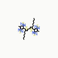 CCCCCCc1cc(-c2cc(CCCCCC)c(-c3c4c(c(C)c5nsnc35)N=S=N4)s2)sc1-c1c2c(c(C)c3nsnc13)N=S=N2